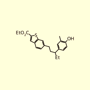 CCOC(=O)c1cc2ccc(CCC(CC)c3ccc(O)c(C)c3)cc2s1